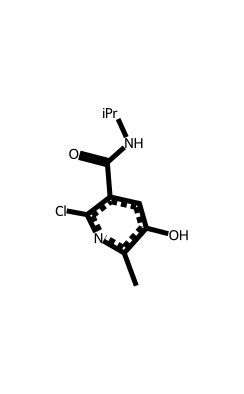 Cc1nc(Cl)c(C(=O)NC(C)C)cc1O